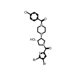 O=C(c1ccc(Cl)cc1)N1CCN([C@H]2CN(C(=O)c3cc(Br)c(Br)s3)C[C@@H]2O)CC1